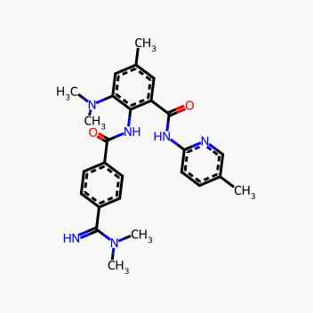 Cc1ccc(NC(=O)c2cc(C)cc(N(C)C)c2NC(=O)c2ccc(C(=N)N(C)C)cc2)nc1